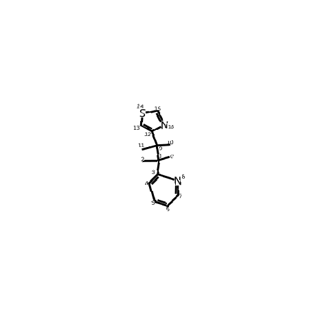 CC(C)(c1ccccn1)C(C)(C)c1cscn1